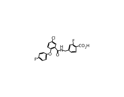 O=C(O)c1ccc(CNC(=O)c2cc(Cl)ccc2Oc2ccc(F)cc2)cc1F